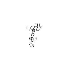 C=C/C(=C(\C)OCc1ccc(NC(=O)NCc2cccnc2)cc1)c1ccccc1